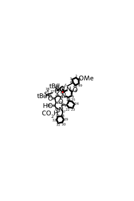 COc1ccc(Cn2c(=O)ccn([C@@H]3O[C@H]([C@H](O)[C@@H](C(=O)O)N(Cc4ccccc4)Cc4ccccc4)[C@@H](O[Si](C)(C)C(C)(C)C)[C@H]3O[Si](C)(C)C(C)(C)C)c2=O)cc1